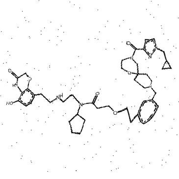 O=C1COc2c(CCNCCN(C(=O)CCOCCc3cccc(CN4CCC5(CC4)CN(C(=O)c4ccn(CC6CC6)n4)CCO5)c3)C3CCCC3)ccc(O)c2N1